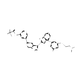 CN(C)CCNc1cc(F)cc(-c2cccc3[nH]c(-c4n[nH]c5cnc(-c6cncc(NC(=O)C(C)(C)C)c6)cc45)cc23)c1